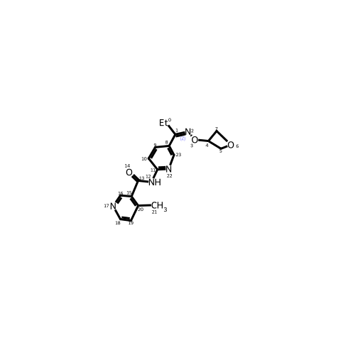 CC/C(=N/OC1COC1)c1ccc(NC(=O)c2cnccc2C)nc1